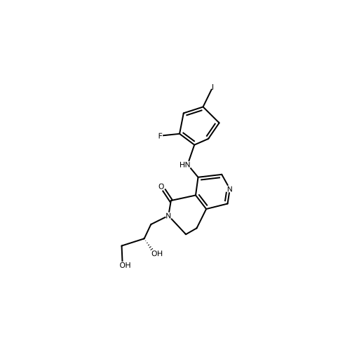 O=C1c2c(cncc2Nc2ccc(I)cc2F)CCN1C[C@H](O)CO